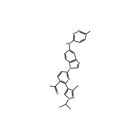 CC(=O)c1ccc(-n2cnc3cc(Nc4ccc(C)nn4)ccc32)nc1-c1cn(C(F)F)nc1C